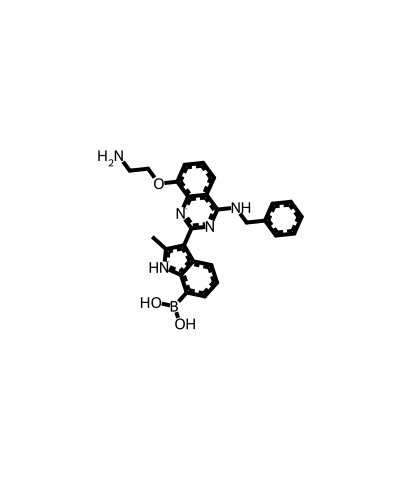 Cc1[nH]c2c(B(O)O)cccc2c1-c1nc(NCc2ccccc2)c2cccc(OCCN)c2n1